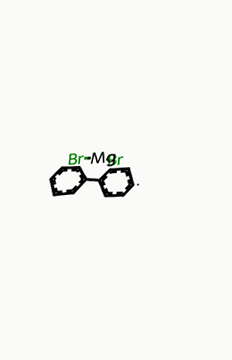 [Br][Mg][Br].[c]1ccc(-c2ccccc2)cc1